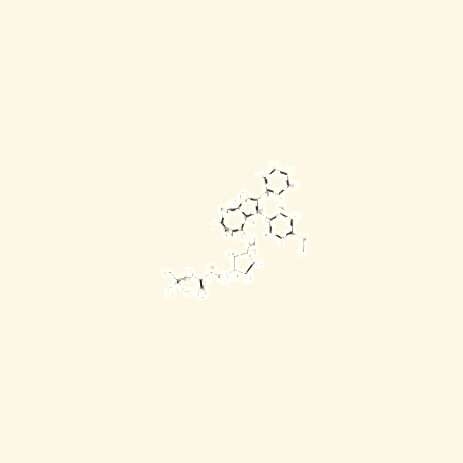 CCc1ccc(-c2c(-c3ccccc3)oc3ncnc(OC4C=CC(OCC(=O)OC(C)(C)C)C4)c23)cc1